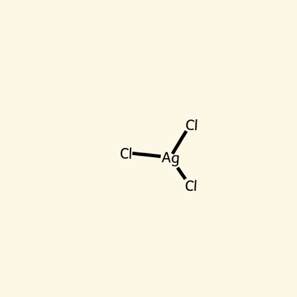 [Cl][Ag]([Cl])[Cl]